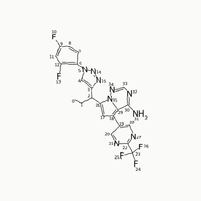 CCC(c1cn(-c2ccc(F)cc2F)nn1)c1cc(-c2cnc(C(F)(F)F)nc2)c2c(N)ncnn12